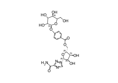 NC(=O)c1ncn([C@@H]2O[C@H](COC(=O)c3ccc(O[C@@H]4OC(CO)[C@H](O)C(O)C4O)cc3)[C@@H](O)[C@H]2O)n1